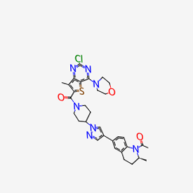 CC(=O)N1c2ccc(-c3cnn(C4CCN(C(=O)c5sc6c(N7CCOCC7)nc(Cl)nc6c5C)CC4)c3)cc2CC[C@@H]1C